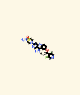 CC(Oc1ccc(N)c(C(=N)c2ccc(N3CC[SH](N)(=O)CC3)nc2)c1)c1c(F)cncc1Cl